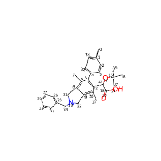 Cc1ccc(-c2c(C)c3c(c(C)c2C(OC(C)(C)C)C(=O)O)CN(Cc2ccccc2)C3)cc1